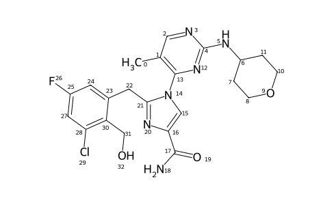 Cc1cnc(NC2CCOCC2)nc1-n1cc(C(N)=O)nc1Cc1cc(F)cc(Cl)c1CO